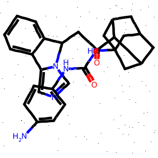 Nc1ccc(NC(=O)NC23CC4CC(C2)C(C(=O)CC2c5ccccc5-c5cncn52)C(C4)C3)cc1